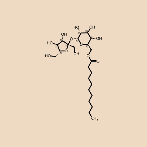 CCCCCCCCCCC(=O)OC[C@H]1O[C@H](O[C@]2(CO)O[C@H](CO)[C@@H](O)[C@@H]2O)[C@H](O)[C@@H](O)[C@@H]1O